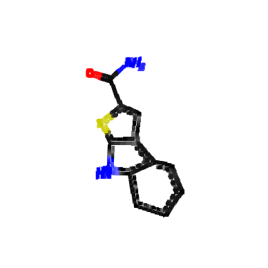 NC(=O)c1cc2c([nH]c3ccccc32)s1